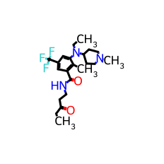 CCC(=O)CCNC(=O)c1cc(C(F)(F)F)cc(N(CC)C2CCN(C)CC2)c1C